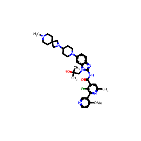 COc1ccncc1-c1nc(C)cc(C(=O)Nc2nc3ccc(N4CCC(N5CC6(CCN(C)CC6)C5)CC4)cc3n2CC(C)(C)O)c1F